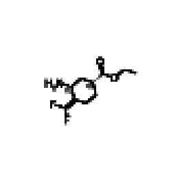 CCOC(=O)[C@@H]1CCC(=C(F)F)[C@@H](N)C1